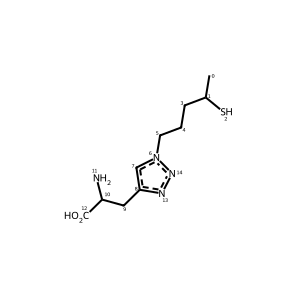 CC(S)CCCn1cc(CC(N)C(=O)O)nn1